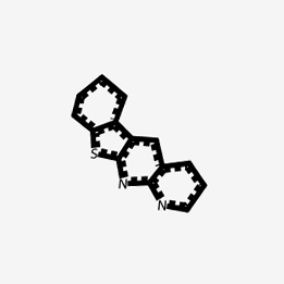 c1cnc2nc3sc4ccccc4c3cc2c1